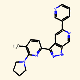 Cc1ccc(-c2n[nH]c3cnc(-c4cccnc4)cc23)nc1N1CCCC1